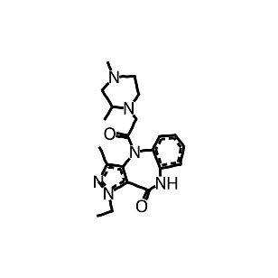 CCn1nc(C)c2c1C(=O)Nc1ccccc1N2C(=O)CN1CCN(C)CC1C